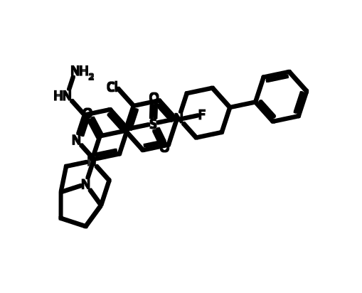 NNc1cc(S(=O)(=O)N2CCC(c3ccccc3)CC2)cc(N2C3CCC2CN(C(=O)c2ccc(F)cc2Cl)C3)n1